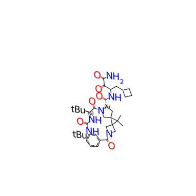 CC(C)(C)NC(=O)N[C@H](C(=O)N1CC2(C[C@H]1C(=O)NC(CC1CCC1)C(=O)C(N)=O)C(C)(C)C21CN(C(=O)c2ccccc2)C1)C(C)(C)C